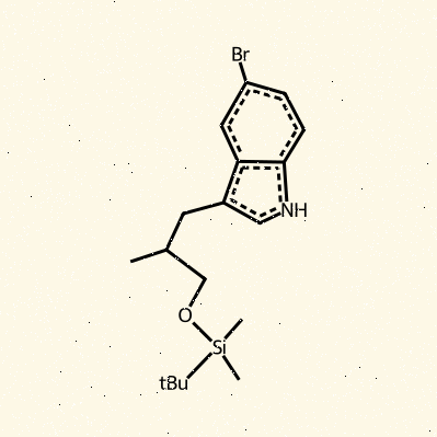 CC(CO[Si](C)(C)C(C)(C)C)Cc1c[nH]c2ccc(Br)cc12